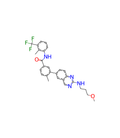 COCCCNc1ncc2cc(-c3cc(C(=O)Nc4cccc(C(F)(F)F)c4C)ccc3C)ccc2n1